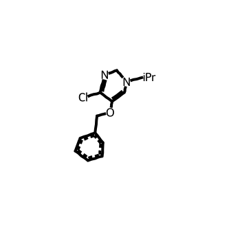 CC(C)N1C=C(OCc2ccccc2)C(Cl)=NC1